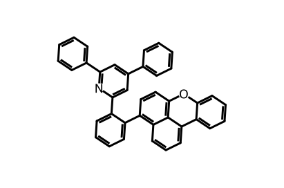 c1ccc(-c2cc(-c3ccccc3)nc(-c3ccccc3-c3ccc4c5c(cccc35)-c3ccccc3O4)c2)cc1